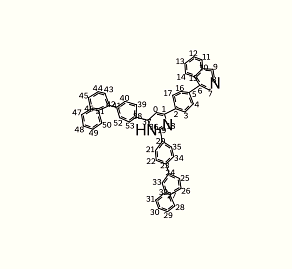 C1=C(c2ccc(-c3cncc4ccccc34)cc2)N=C(c2ccc(-c3ccc4ccccc4c3)cc2)NC1c1ccc(-c2cccc3ccccc23)cc1